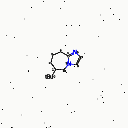 CC(C)(C)C1CCCc2nccn2C1